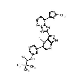 Cc1ccc(-c2ccnc3[nH]c(-c4n[nH]c5ncc(-c6cncc(NC(O)C(C)(C)C)c6)c(F)c45)nc23)s1